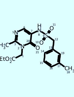 CCOC(=O)Cn1c(C)ncc(NS(=O)(=O)Cc2cccc(C)c2)c1=O